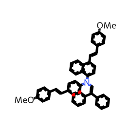 COc1ccc(C=Cc2ccc(N(C=C(c3ccccc3)c3ccccc3)c3ccc(C=Cc4ccc(OC)cc4)c4ccccc34)cc2)cc1